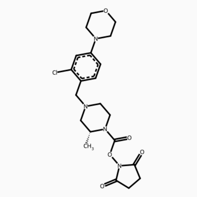 C[C@@H]1CN(Cc2ccc(N3CCOCC3)cc2Cl)CCN1C(=O)ON1C(=O)CCC1=O